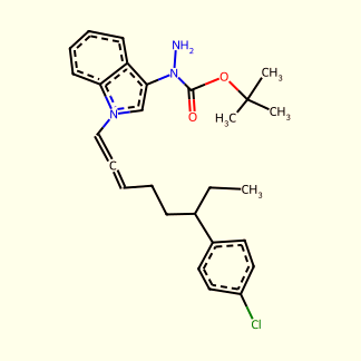 CCC(CCC=C=Cn1cc(N(N)C(=O)OC(C)(C)C)c2ccccc21)c1ccc(Cl)cc1